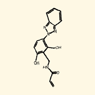 C=CC(=O)NCc1c(O)ccc(-n2nc3ccccc3n2)c1O